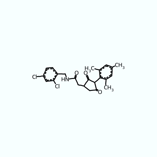 Cc1cc(C)c(C2C(=O)CC(CC(=O)NCc3ccc(Cl)cc3Cl)C2=O)c(C)c1